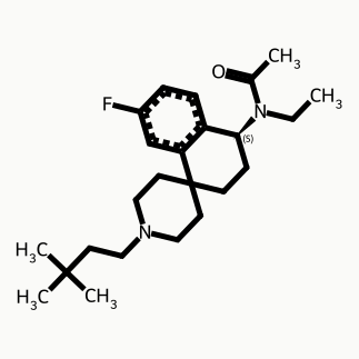 CCN(C(C)=O)[C@H]1CCC2(CCN(CCC(C)(C)C)CC2)c2cc(F)ccc21